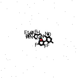 CCS(=O)(=O)N[C@@H]1CN2C(=O)N(c3noc4cc(C)c(F)c(-c5c(F)cc(F)cc5F)c34)C[C@@H]2C1(F)F